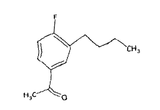 CCCCc1cc(C(C)=O)ccc1F